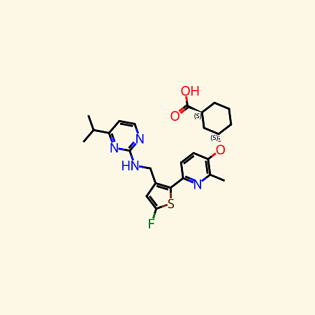 Cc1nc(-c2sc(F)cc2CNc2nccc(C(C)C)n2)ccc1O[C@H]1CCC[C@H](C(=O)O)C1